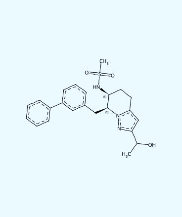 CC(O)c1cc2n(n1)[C@@H](Cc1cccc(-c3ccccc3)c1)[C@@H](NS(C)(=O)=O)CC2